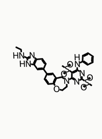 CCNc1nc2ccc(-c3ccc4c(c3)CN(c3nc(S(C)(=O)=O)nc(Nc5ccccc5)c3S(C)(=O)=O)CCO4)cc2[nH]1